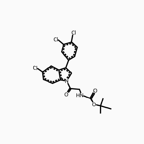 CC(C)(C)OC(=O)NCC(=O)n1cc(-c2ccc(Cl)c(Cl)c2)c2cc(Cl)ccc21